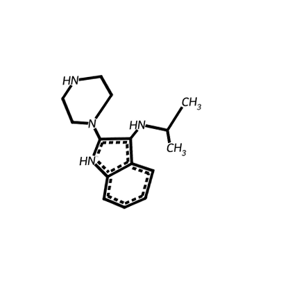 CC(C)Nc1c(N2CCNCC2)[nH]c2ccccc12